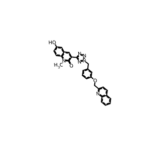 Cn1c(=O)c(-c2nnn(Cc3cccc(OCc4ccc5ccccc5n4)c3)n2)cc2cc(O)ccc21